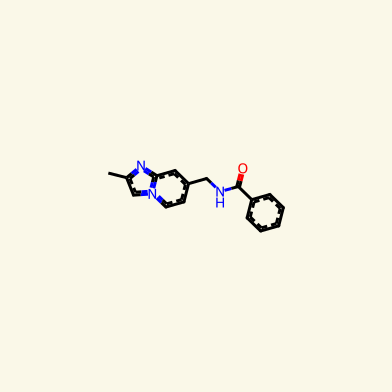 Cc1cn2ccc(CNC(=O)c3ccccc3)cc2n1